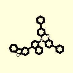 c1ccc(-c2ccc3c(c2)Sc2cc(-c4ccccc4)ccc2N3c2ccc(-c3ccc4oc5ccccc5c4c3)c3ccccc23)cc1